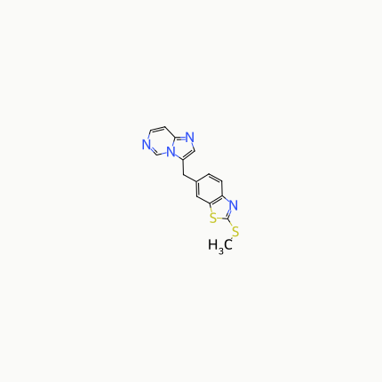 CSc1nc2ccc(Cc3cnc4ccncn34)cc2s1